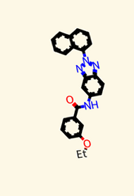 CCOc1cccc(C(=O)Nc2ccc3nn(-c4cccc5ccccc45)nc3c2)c1